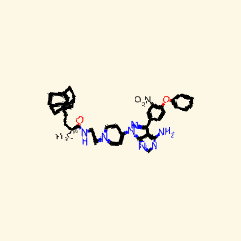 C[C@H](CCC12CC3CC(CC(C3)C1)C2)C(=O)NCCN1CCC(n2nc(-c3ccc(Oc4ccccc4)c([N+](=O)[O-])c3)c3c(N)ncnc32)CC1